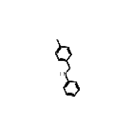 Cc1ccc(CNc2ccccc2)cc1